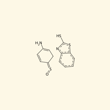 NC1=CCC(=S=O)C=C1.Sc1nc2ccccc2s1